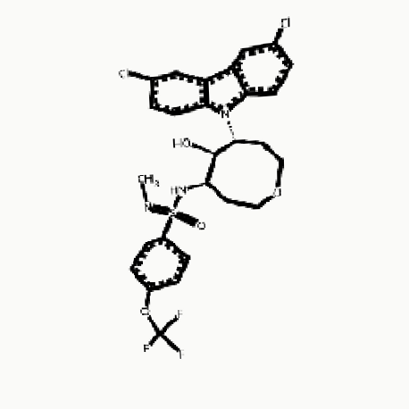 CN=S(=O)(N[C@@H]1CCOCC[C@@H](n2c3ccc(Cl)cc3c3cc(Cl)ccc32)[C@@H]1O)c1ccc(OC(F)(F)F)cc1